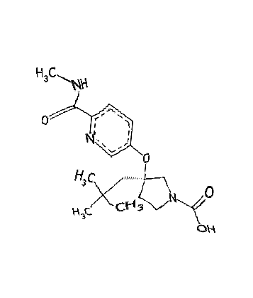 CNC(=O)c1ccc(O[C@]2(CC(C)(C)C)CCN(C(=O)O)C2)cn1